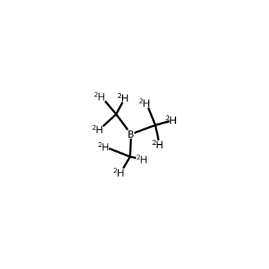 [2H]C([2H])([2H])B(C([2H])([2H])[2H])C([2H])([2H])[2H]